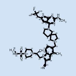 CNc1nc(N2CCCC3(CCN(Cc4ccc5c(cc(C#N)n5C[C@H](C)N5CCN(S(=O)(=O)NC)CC5)c4C)C3)C2)c2cc(CC(F)(F)F)sc2n1